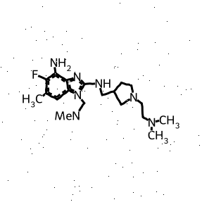 CNCn1c(NCC2CCN(CCN(C)C)C2)nc2c(N)c(F)c(C)cc21